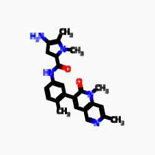 CC1=C(N)CC(C(=O)Nc2ccc(C)c(-c3cc4cnc(C)cc4n(C)c3=O)c2)N1C